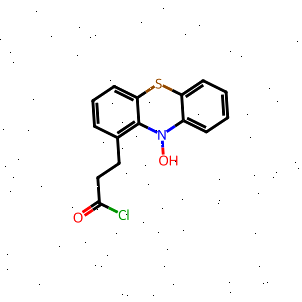 O=C(Cl)CCc1cccc2c1N(O)c1ccccc1S2